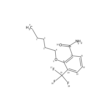 CCCCCOc1c(C(N)=O)cccc1C(F)(F)F